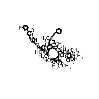 CO[C@@H]1[C@H](O)[C@@H](C)O[C@@H](OC[C@H](C)[C@H]2OC(=O)[C@H](C)[C@@H](O[C@H]3CC(C)N(CCCc4ccccc4)CC(C)O3)[C@H](C)[C@@H](O[C@@H]3O[C@H](C)CC(=NOCc4cn(CC5CC(c6cccc(F)c6)C(=O)O5)nn4)[C@H]3O)[C@@H](C)C[C@](C)(O)C(=O)[C@H](C)[C@H](OC(=O)CC(C)C)[C@H]2C)[C@@H]1OC